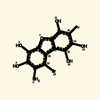 Bc1c(O)c(O)c2oc3c(O)c(C)c(O)c(O)c3c2c1Br